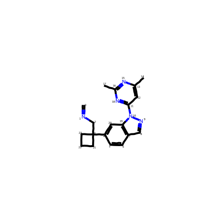 C=NCC1(c2ccc3cnn(-c4cc(C)nc(C)n4)c3c2)CCC1